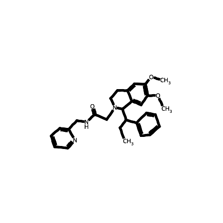 CCC(c1ccccc1)C1c2cc(OC)c(OC)cc2CCN1CC(=O)NCc1ccccn1